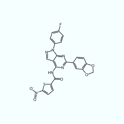 O=C(Nc1nc(-c2ccc3c(c2)OCO3)nc2c1cnn2-c1ccc(F)cc1)c1ccc([N+](=O)[O-])s1